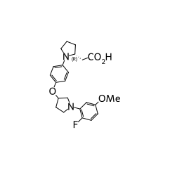 COc1ccc(F)c(N2CCC(Oc3ccc(N4CCC[C@@H]4CC(=O)O)cc3)C2)c1